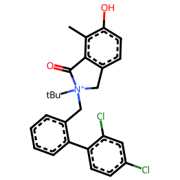 Cc1c(O)ccc2c1C(=O)[N+](Cc1ccccc1-c1ccc(Cl)cc1Cl)(C(C)(C)C)C2